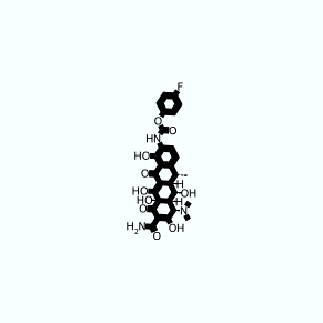 C[C@H]1c2ccc(NC(=O)Oc3ccc(F)cc3)c(O)c2C(=O)C2=C(O)[C@]3(O)C(=O)C(C(N)=O)=C(O)[C@@H](N(C)C)[C@@H]3[C@@H](O)[C@@H]21